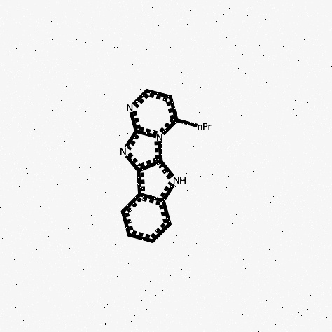 CCCc1ccnc2nc3c4ccccc4[nH]c3n12